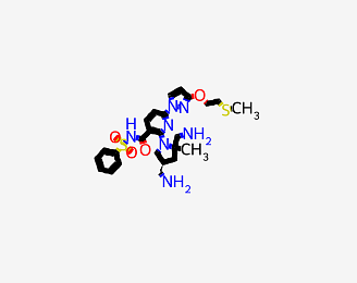 CSCCOc1ccn(-c2ccc(C(=O)NS(=O)(=O)c3ccccc3)c(N3C[C@@H](CN)CC3(C)CN)n2)n1